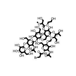 COC(CO)[C@H](OCCO)OC1C(O)[C@H](O[C@@H](C(C)O)C(CO)OCO[C@@H]2C(CO)O[C@@H](NC(=O)CBr)C(NC(C)=O)C2O)OC(CO[C@H]2OC(CO)[C@@H](O)C(O)C2O[C@@H]2OC(CO)[C@@H](O[C@@H]3OC(CO)[C@H](O)[C@H](O)C3O)C(O)C2NC(C)=O)[C@H]1O